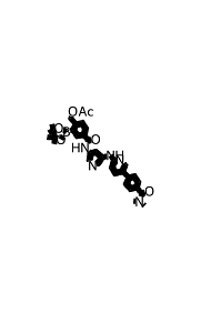 CC(=O)OCc1ccc(C(=O)Nc2cncc(Nc3ccc(-c4ccc(C(=O)N(C)C)cc4)cn3)c2)cc1B1OC(C)(C)C(C)(C)O1